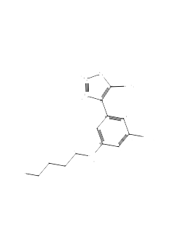 N#Cc1[nH]nnc1-c1cc(OCCCCO)cc(C(F)(F)F)c1